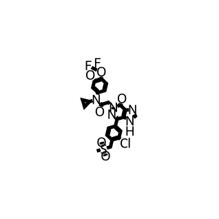 CS(=O)(=O)Cc1ccc(-c2nn(CC(=O)N(c3ccc4c(c3)OC(F)(F)O4)C3CC3)c(=O)c3nc[nH]c23)cc1Cl